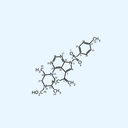 C=C(C)c1cn(S(=O)(=O)c2ccc(C)cc2)c2ncnc(N3CC(C)N(C(=O)O)CC3C)c12